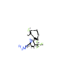 Cc1c(F)cccc1-c1nc(N)ccc1C(F)(F)F